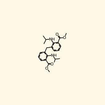 COC(=O)c1cccc(Cc2cccc(C(=O)OC)c2NC(C)C)c1NC(C)C